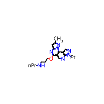 CCCNCCCOc1nc2cc(C)nn2c2c1cnc1c2cnn1CC